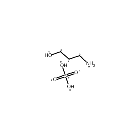 NCCCO.O=S(=O)(O)O